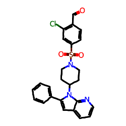 O=Cc1ccc(S(=O)(=O)N2CCC(n3c(-c4ccccc4)cc4cccnc43)CC2)cc1Cl